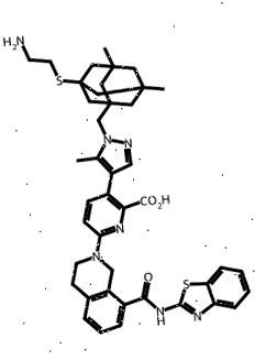 Cc1c(-c2ccc(N3CCc4cccc(C(=O)Nc5nc6ccccc6s5)c4C3)nc2C(=O)O)cnn1CC12CC3(C)CC(C)(C1)CC(SCCN)(C3)C2